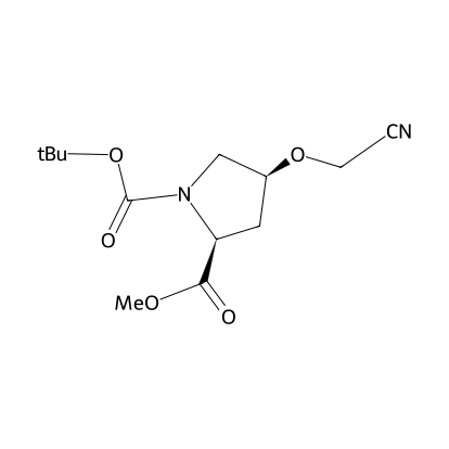 COC(=O)[C@@H]1C[C@H](OCC#N)CN1C(=O)OC(C)(C)C